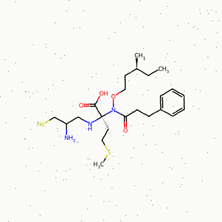 CC[C@H](C)CCON(C(=O)CCc1ccccc1)[C@@](CCSC)(NCC(N)CS)C(=O)O